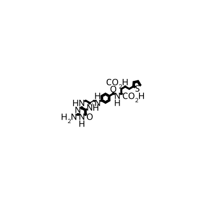 Nc1nc2c(c(=O)[nH]1)N[C@H](CNc1ccc(C(=O)NC(CC(Cc3cccs3)C(=O)O)C(=O)O)cc1)CN2